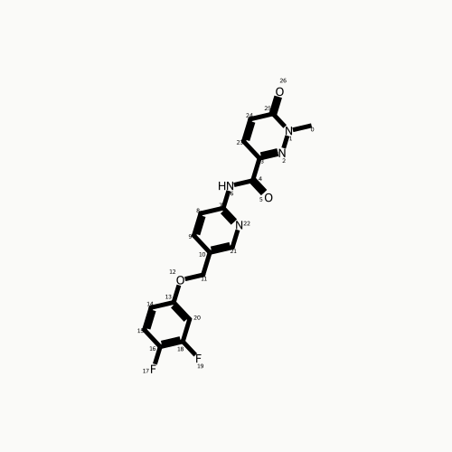 Cn1nc(C(=O)Nc2ccc(COc3ccc(F)c(F)c3)cn2)ccc1=O